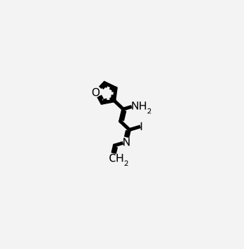 C=C/N=C(I)\C=C(/N)c1ccoc1